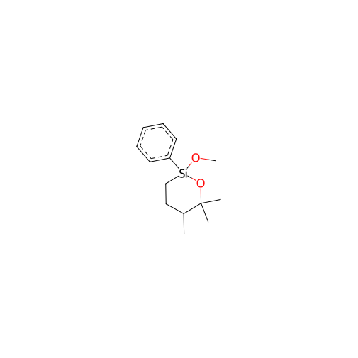 CO[Si]1(c2ccccc2)CCC(C)C(C)(C)O1